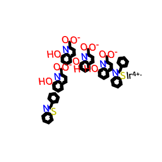 O=C([O-])c1ccc2cccc(O)c2n1.O=C([O-])c1ccc2cccc(O)c2n1.O=C([O-])c1ccc2cccc(O)c2n1.O=C([O-])c1ccc2cccc(O)c2n1.[Ir+4].c1ccc(-c2nc3ccccc3s2)cc1.c1ccc(-c2nc3ccccc3s2)cc1